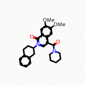 COc1cc2c(C(=O)N3CCCCC3)cn(C3CCc4ccccc4C3)c(=O)c2cc1OC